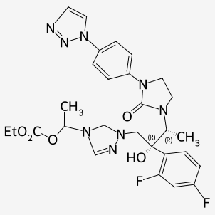 CCOC(=O)OC(C)N1C=NN(C[C@](O)(c2ccc(F)cc2F)[C@@H](C)N2CCN(c3ccc(-n4ccnn4)cc3)C2=O)C1